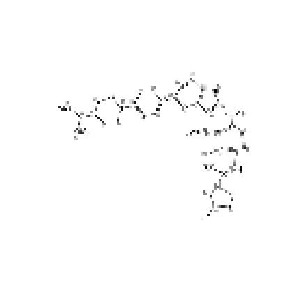 COc1ccc(N[S+]([O-])N2CCC(F)C2)c(F)c1C(=O)c1c[nH]c2ncc(-c3ccc(N4CCC(C(OC)OC)CC4)cc3)cc12